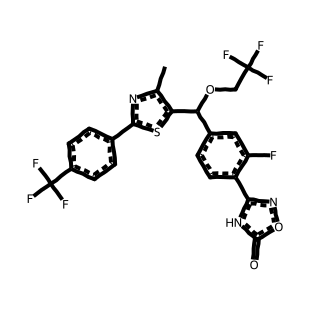 Cc1nc(-c2ccc(C(F)(F)F)cc2)sc1C(OCC(F)(F)F)c1ccc(-c2noc(=O)[nH]2)c(F)c1